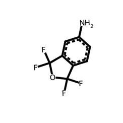 Nc1ccc2c(c1)C(F)(F)OC2(F)F